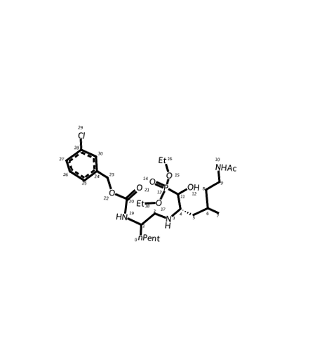 CCCCCC(CN[C@@H](CC(C)CCNC(C)=O)C(O)P(=O)(OCC)OCC)NC(=O)OCc1cccc(Cl)c1